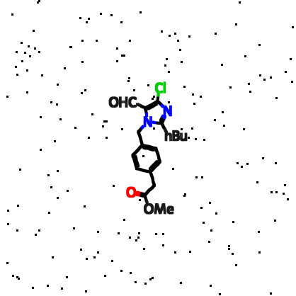 CCCCc1nc(Cl)c(C=O)n1Cc1ccc(CC(=O)OC)cc1